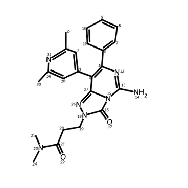 Cc1cc(-c2c(-c3ccccc3)nc(N)n3c(=O)n(CCC(=O)N(C)C)nc23)cc(C)n1